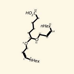 CCCCCC/C=C\COC(CCCCC(=O)O)OC/C=C\CCCCCC